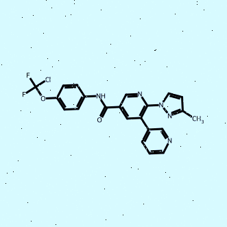 Cc1ccn(-c2ncc(C(=O)Nc3ccc(OC(F)(F)Cl)cc3)cc2-c2cccnc2)n1